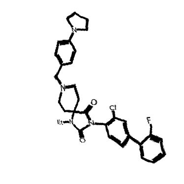 CCN1C(=O)N(c2ccc(-c3ccccc3F)cc2Cl)C(=O)C12CCN(Cc1ccc(N3CCCC3)cc1)CC2